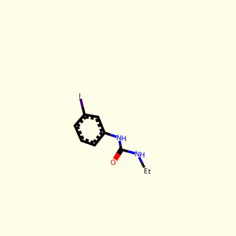 CCNC(=O)Nc1cccc(I)c1